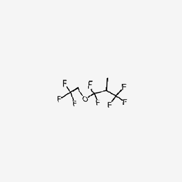 CC(C(F)(F)F)C(F)(F)OCC(F)(F)F